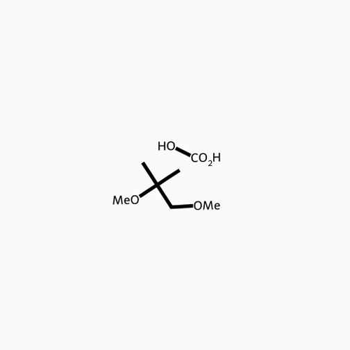 COCC(C)(C)OC.O=C(O)O